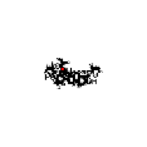 C/C=C(/C)C(=O)OC[C@@]12C(CC(C)(C)[C@@H](O)[C@@H]1OC(=O)/C(C)=C\C)C1=CCC3[C@@]4(C)CC[C@H](O)[C@](C)(COC(=O)/C(C)=C\C)C4CC[C@@]3(C)[C@]1(C)C[C@H]2O